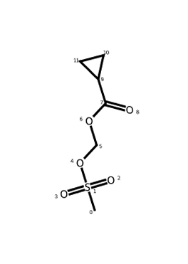 CS(=O)(=O)OCOC(=O)C1CC1